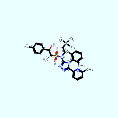 COc1cccc(-c2nnc(N(CC[Si](C)(C)C)S(=O)(=O)[C@H](C)[C@H](O)c3ccc(C#N)cc3)n2-c2c(OC)cccc2OC)n1